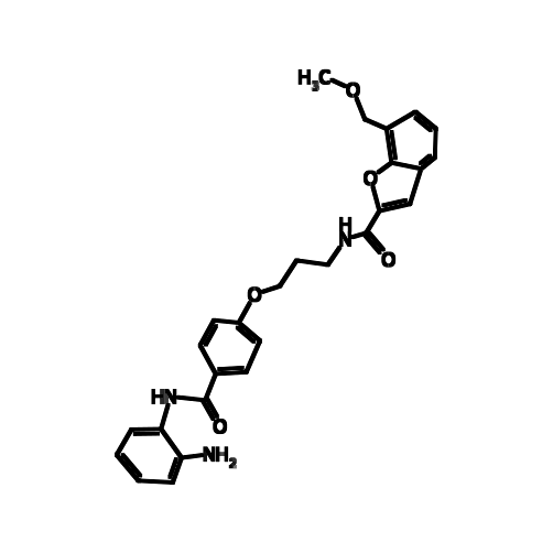 COCc1cccc2cc(C(=O)NCCCOc3ccc(C(=O)Nc4ccccc4N)cc3)oc12